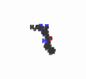 Cc1cn(-c2ccc(/C=C/C(=O)NCc3cccc(-c4ccccc4)c3)cc2C#N)cn1